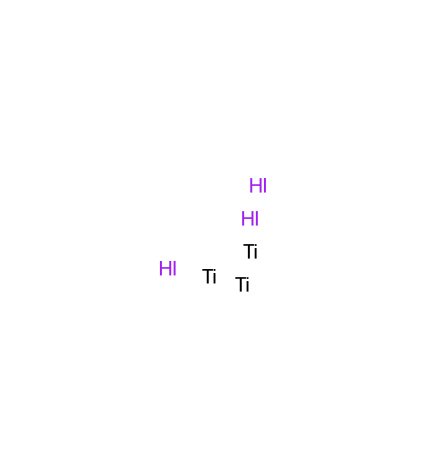 I.I.I.[Ti].[Ti].[Ti]